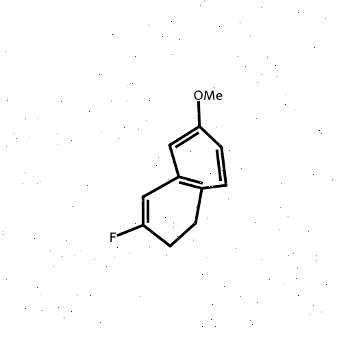 COc1ccc2c(c1)C=C(F)CC2